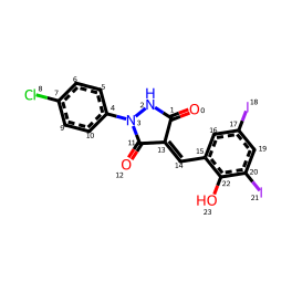 O=C1NN(c2ccc(Cl)cc2)C(=O)/C1=C/c1cc(I)cc(I)c1O